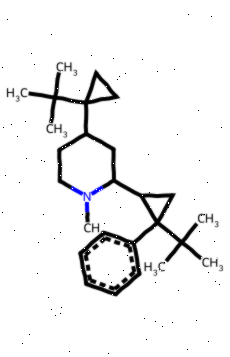 CN1CCC(C2(C(C)(C)C)CC2)CC1C1CC1(c1ccccc1)C(C)(C)C